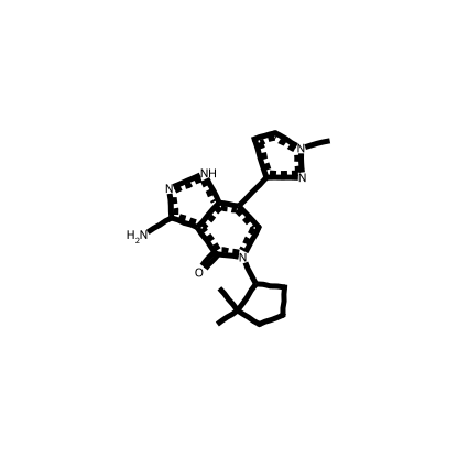 Cn1ccc(-c2cn(C3CCCC3(C)C)c(=O)c3c(N)n[nH]c23)n1